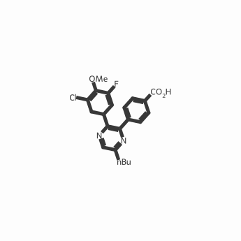 CCCCc1cnc(C2C=C(F)C(OC)=C(Cl)C2)c(-c2ccc(C(=O)O)cc2)n1